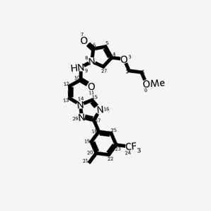 COCCOC1=CC(=O)N(NC(=O)/C=C\n2cnc(-c3cc(C)cc(C(F)(F)F)c3)n2)C1